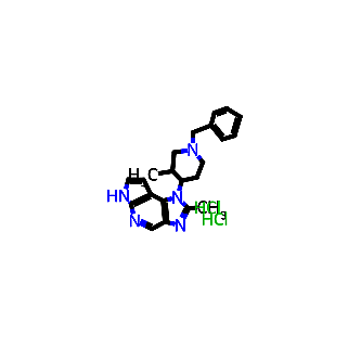 Cc1nc2cnc3[nH]ccc3c2n1C1CCN(Cc2ccccc2)CC1C.Cl.Cl